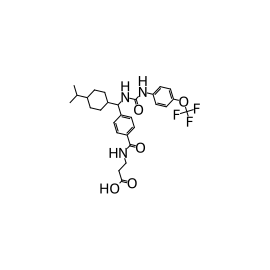 CC(C)C1CCC(C(NC(=O)Nc2ccc(OC(F)(F)F)cc2)c2ccc(C(=O)NCCC(=O)O)cc2)CC1